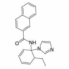 CCC1C=CC=CC1(NC(=O)c1ccc2ccccc2c1)n1ccnc1